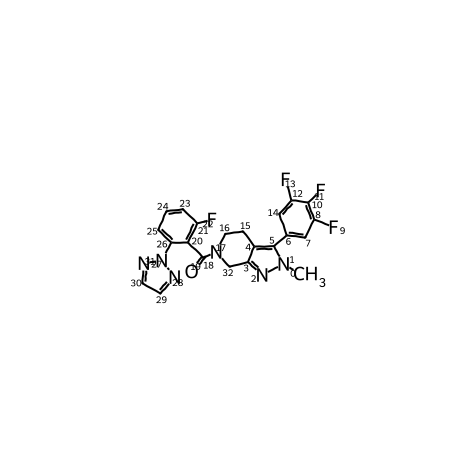 Cn1nc2c(c1-c1cc(F)c(F)c(F)c1)CCN(C(=O)c1c(F)cccc1-n1nccn1)C2